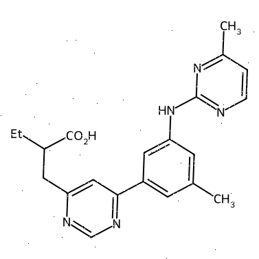 CCC(Cc1cc(-c2cc(C)cc(Nc3nccc(C)n3)c2)ncn1)C(=O)O